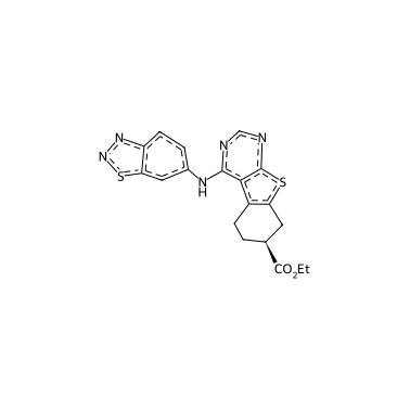 CCOC(=O)[C@H]1CCc2c(sc3ncnc(Nc4ccc5nnsc5c4)c23)C1